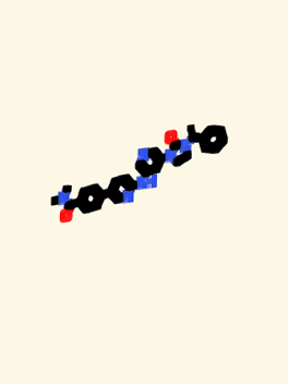 C[C@@H](c1ccccc1)N1CCN(c2cncc(Nc3ccc(-c4ccc(C(=O)N(C)C)cc4)cn3)c2)C1=O